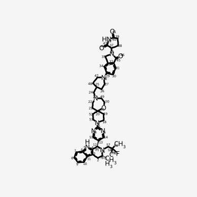 C[C@@H]1Cc2c([nH]c3ccccc23)[C@@H](c2cnc(N3CCC4(CCN(CC5CCN(c6ccc7c(c6)CN(C6CCC(=O)NC6=O)C7=O)CC5)CCO4)CC3)nc2)N1CC(C)(C)F